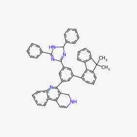 CC1(C)c2ccccc2-c2c(-c3cc(C4=NC(c5ccccc5)NC(c5ccccc5)=N4)cc(-c4nc5ccccc5c5c4CNC=C5)c3)cccc21